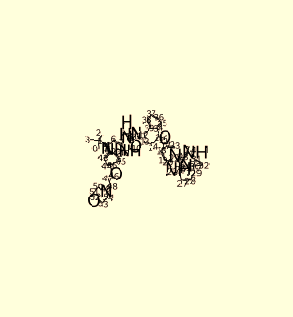 CC(C)(C)C(=N)/C=C(/NC(=O)N[C@H]1CC[C@@H](Oc2ccc(=N)n(C(=N)N3CCCCC34CC4)c2)c2ccccc21)Nc1cccc(OCCN2CCOCC2)c1